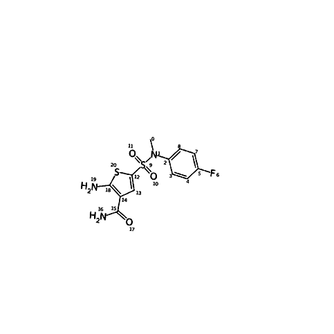 CN(c1ccc(F)cc1)S(=O)(=O)c1cc(C(N)=O)c(N)s1